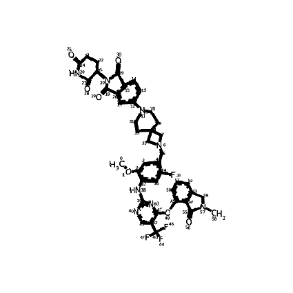 COc1cc(CN2CC3(CCN(c4ccc5c(c4)C(=O)N(C4CCC(=O)NC4=O)C5=O)CC3)C2)c(F)cc1Nc1ncc(C(F)(F)F)c(Oc2cccc3c2C(=O)N(C)C3)n1